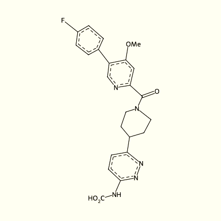 COc1cc(C(=O)N2CCC(c3ccc(NC(=O)O)nn3)CC2)ncc1-c1ccc(F)cc1